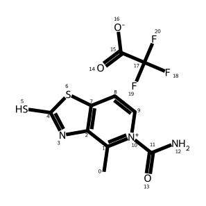 Cc1c2nc(S)sc2cc[n+]1C(N)=O.O=C([O-])C(F)(F)F